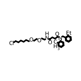 CCc1ccccc1CN(C(=O)CCC(=O)NCCOCCOCCCCCCCl)c1ccccc1C